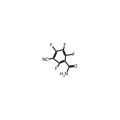 N#Cc1c(F)c(F)c(F)c(C(N)=O)c1F